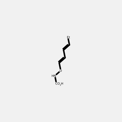 CCC=CC=CONC(=O)O